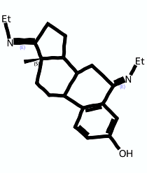 CC/N=C1\CC2C(CC[C@]3(C)/C(=N/CC)CCC23)c2ccc(O)cc21